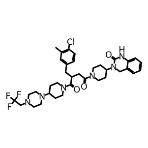 Cc1cc(CC(CC(=O)N2CCC(N3Cc4ccccc4NC3=O)CC2)C(=O)N2CCC(N3CCN(CC(F)(F)F)CC3)CC2)ccc1Cl